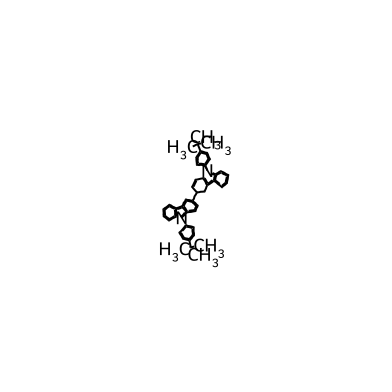 CC(C)(C)c1ccc(-n2c3c(c4ccccc42)CC(c2ccc4c(c2)c2ccccc2n4-c2ccc(C(C)(C)C)cc2)C=C3)cc1